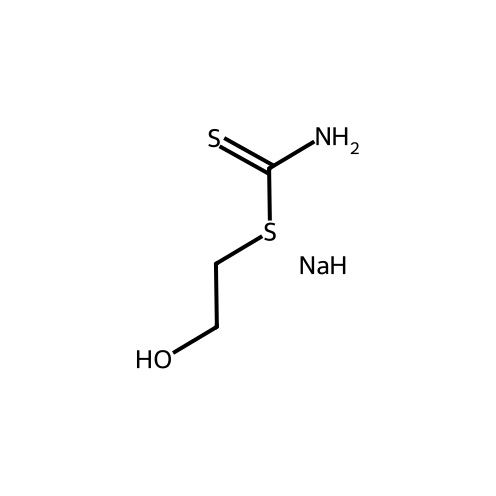 NC(=S)SCCO.[NaH]